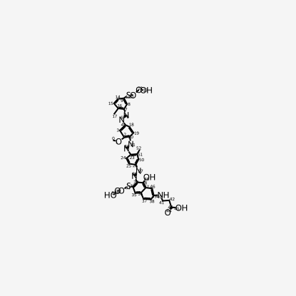 COc1cc(N=Nc2cc(SOOO)ccc2C)ccc1N=Nc1ccc(N=Nc2c(SOOO)cc3ccc(NCCC(=O)O)cc3c2O)cc1C